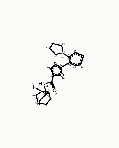 O=C(N[C@H]1CN2CCC1CC2)c1ccc(-c2ccccc2N2CCCC2)o1